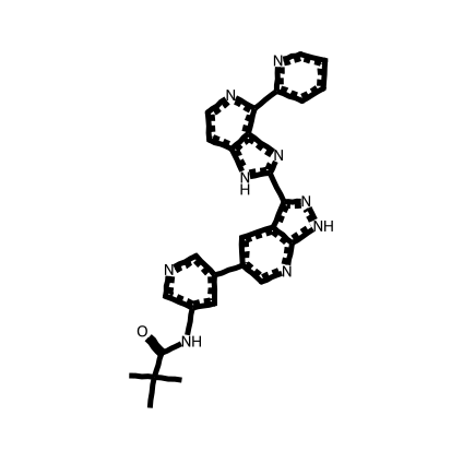 CC(C)(C)C(=O)Nc1cncc(-c2cnc3[nH]nc(-c4nc5c(-c6ccccn6)nccc5[nH]4)c3c2)c1